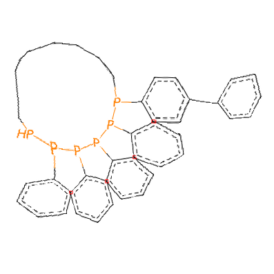 c1ccc(-c2ccc(P3CCCCCCCCPP(c4ccccc4)P(c4ccccc4)P(c4ccccc4)P3c3ccccc3)cc2)cc1